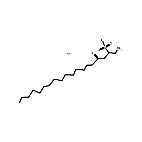 CCCCCCCCCCCCCCCC(=O)CC(CN)S(=O)(=O)[O-].[Na+]